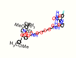 CC[C@H](C(=O)N1CCCC[C@H]1C(=O)O[C@@H](CCc1ccc(C)c(OC)c1)c1cccc(OCC(=O)NCCOCCOCCOCCOCCC(=O)NCCOc2ccccc2-n2cc(C3NC(=O)NC3=O)c(-c3ccc(F)cc3)n2)c1)c1cc(C)c(C)c(OC)c1